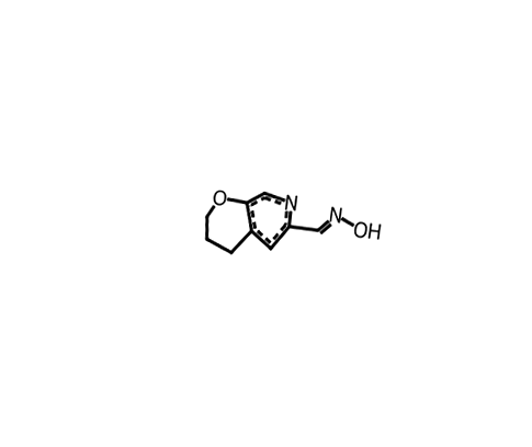 O/N=C/c1cc2c(cn1)OCCC2